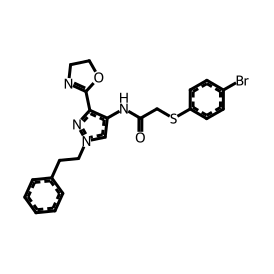 O=C(CSc1ccc(Br)cc1)Nc1cn(CCc2ccccc2)nc1C1=NCCO1